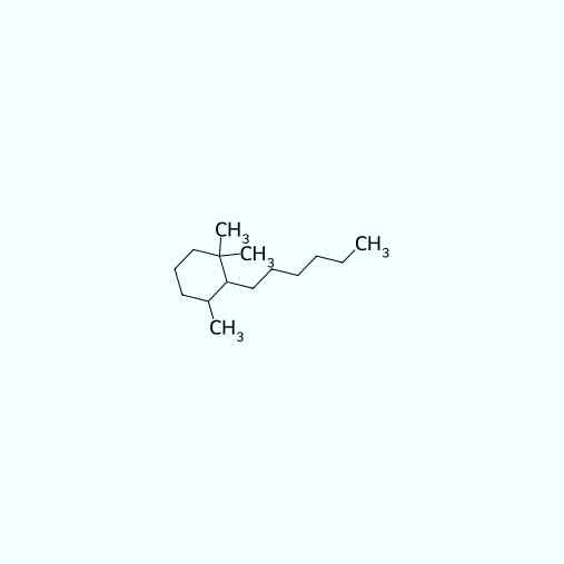 CCCCCCC1C(C)CCCC1(C)C